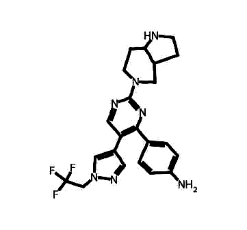 Nc1ccc(-c2nc(N3CCC4NCCC4C3)ncc2-c2cnn(CC(F)(F)F)c2)cc1